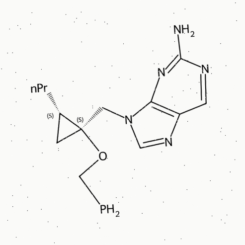 CCC[C@H]1C[C@]1(Cn1cnc2cnc(N)nc21)OCP